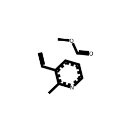 C=Cc1cccnc1C.COC=O